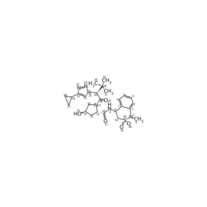 CN1c2ccccc2C(NC(=O)[C@@H]2C[C@@H](O)CN2C(=O)[C@@H](n2cc(C3CC3)nn2)C(C)(C)C)CS1(=O)=O